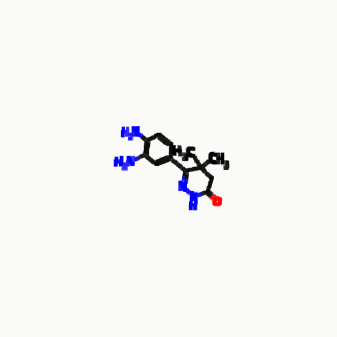 CC1(C)CC(=O)NN=C1c1ccc(N)c(N)c1